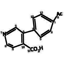 CC(=O)c1ccc(-c2cnccc2C(=O)O)cc1